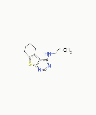 C=CCNc1ncnc2sc3c(c12)CCCC3